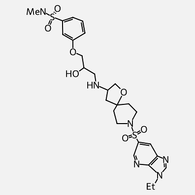 CCn1cnc2cc(S(=O)(=O)N3CCC4(CC3)CC(NCC(O)COc3cccc(S(=O)(=O)NC)c3)CO4)cnc21